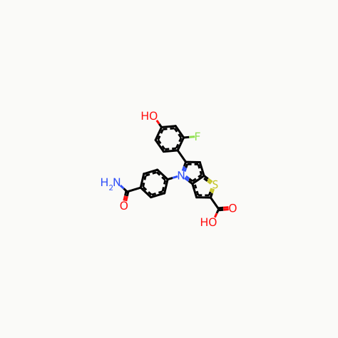 NC(=O)c1ccc(-n2c(-c3ccc(O)cc3F)cc3sc(C(=O)O)cc32)cc1